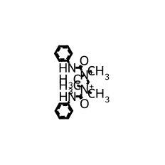 C[N+](C)(C[N+](C)(C)C(=O)Nc1ccccc1)C(=O)Nc1ccccc1